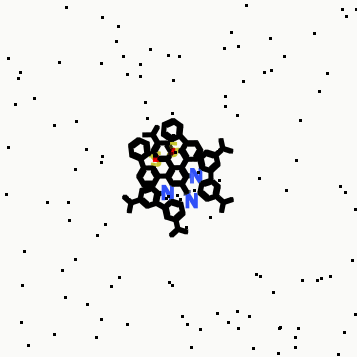 CC(C)c1ccc(-c2c(-c3cccc4c3sc3ccccc34)c(-n3c4ccc(C(C)C)cc4c4cc(C(C)C)ccc43)c(C#N)c(-n3c4ccc(C(C)C)cc4c4cc(C(C)C)ccc43)c2-c2cccc3c2sc2ccccc23)cc1